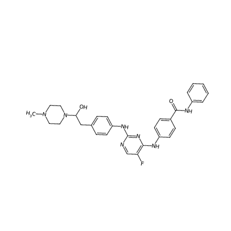 CN1CCN(C(O)Cc2ccc(Nc3ncc(F)c(Nc4ccc(C(=O)Nc5ccccc5)cc4)n3)cc2)CC1